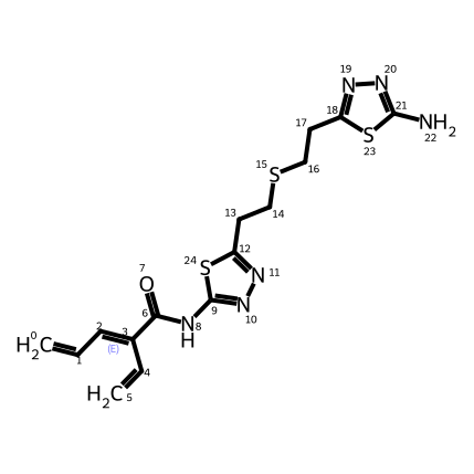 C=C/C=C(\C=C)C(=O)Nc1nnc(CCSCCc2nnc(N)s2)s1